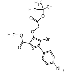 COC(=O)c1sc(-c2ccc(N)cc2)c(Br)c1OCC(=O)OC(C)(C)C